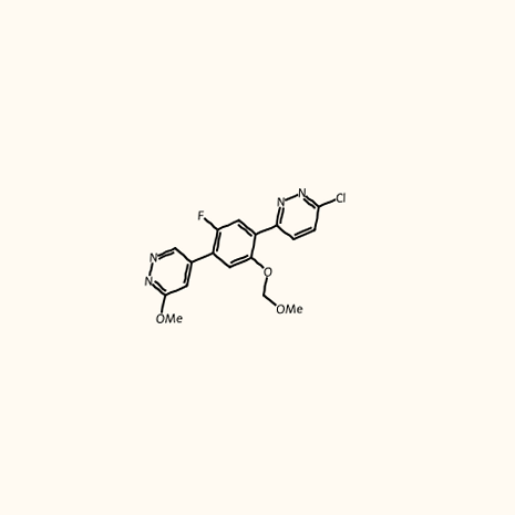 COCOc1cc(-c2cnnc(OC)c2)c(F)cc1-c1ccc(Cl)nn1